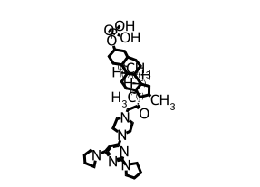 CC1C[C@H]2[C@@H]3CCC4CC(OP(=O)(O)O)CC[C@]4(C)[C@H]3CC[C@]2(C)[C@H]1C(=O)CN1CCN(c2cc(N3CCCC3)nc(N3CCCC3)n2)CC1